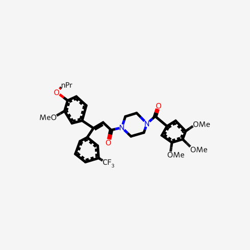 CCCOc1ccc(/C(=C/C(=O)N2CCN(C(=O)c3cc(OC)c(OC)c(OC)c3)CC2)c2cccc(C(F)(F)F)c2)cc1OC